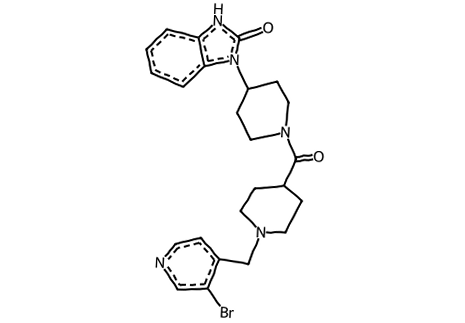 O=C(C1CCN(Cc2ccncc2Br)CC1)N1CCC(n2c(=O)[nH]c3ccccc32)CC1